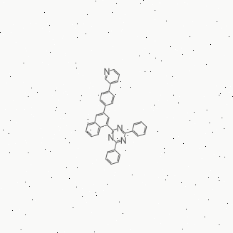 c1ccc(-c2nc(-c3ccccc3)nc(-c3cc(-c4ccc(-c5cccnc5)cc4)cc4ccccc34)n2)cc1